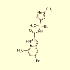 CCC(C)(NC(=O)c1cc2cc(Br)cc(C)c2[nH]1)c1cnn(C)c1